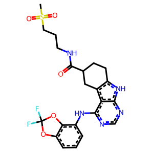 CS(=O)(=O)CCCNC(=O)C1CCc2[nH]c3ncnc(Nc4cccc5c4OC(F)(F)O5)c3c2C1